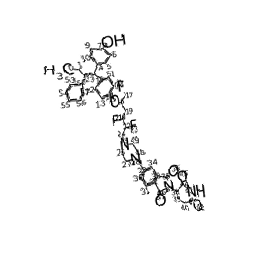 CCC(=C(c1ccc(O)cc1)c1ccc(OC(CF)CC(F)C(F)CN2CCN(c3ccc4c(c3)C(=O)N(C3CCC(=O)NC3=O)C4=O)CC2)cc1)c1ccccc1